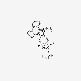 CC12C3=Cc4c(n(N)c5c6ccccc6c6ccccc6c45)C=C1C=CC2(CN(N)F)C=C3